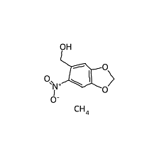 C.O=[N+]([O-])c1cc2c(cc1CO)OCO2